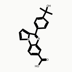 CC(C)(O)c1ccc(-c2nc3cc(C(=O)O)ccc3n3cccc23)cc1